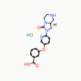 Cl.O=C(O)c1cccc(Oc2ccc(N3C[C@@H]4CNCCN4C3=O)nc2)c1